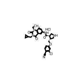 CCn1c(=O)n(CC2CC2)c(=O)c2cc(NC(=O)[C@H]3CNC[C@@H]3COc3ccc(C#N)c(Cl)c3)ccc21.Cl